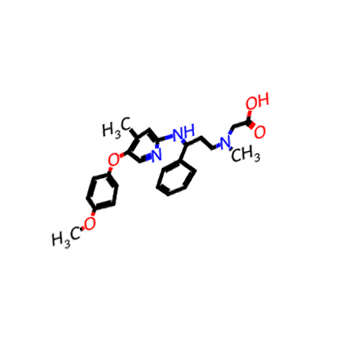 COc1ccc(Oc2cnc(NC(CCN(C)CC(=O)O)c3ccccc3)cc2C)cc1